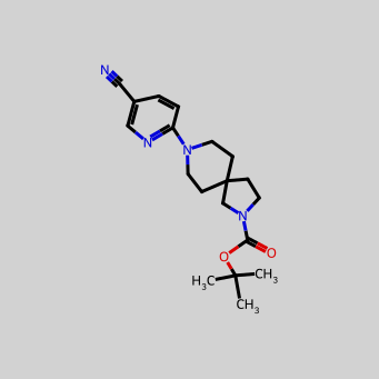 CC(C)(C)OC(=O)N1CCC2(CCN(c3ccc(C#N)cn3)CC2)C1